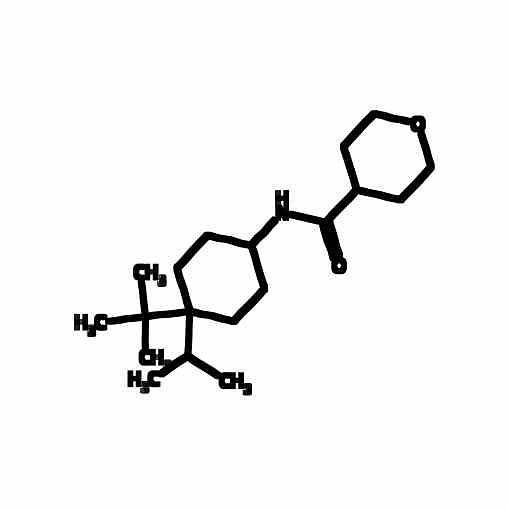 CC(C)C1(C(C)(C)C)CCC(NC(=O)C2CCOCC2)CC1